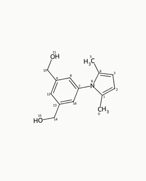 Cc1ccc(C)n1-c1cc(CO)cc(CO)c1